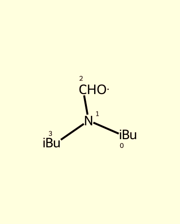 CCC(C)N([C]=O)C(C)CC